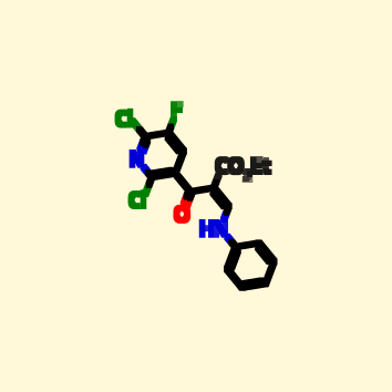 CCOC(=O)C(=CNc1ccccc1)C(=O)c1cc(F)c(Cl)nc1Cl